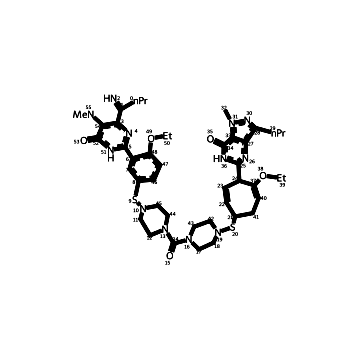 CCCC(=N)c1nc(-c2cc(SN3CCN(C(=O)N4CCN(SC5C=CC(c6nc7c(CCC)nn(C)c7c(=O)[nH]6)C(OCC)=CC5)CC4)CC3)ccc2OCC)[nH]c(=O)c1NC